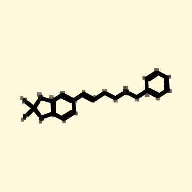 FC1(F)Oc2ccc(C=CCCOCc3ccccc3)cc2O1